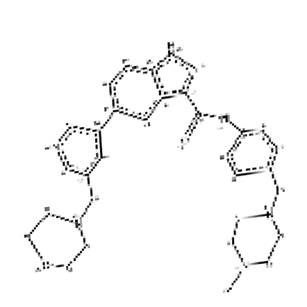 CN1CCN(Cc2ccc(NC(=O)c3n[nH]c4ccc(-c5cncc(CN6CCOCC6)c5)cc34)cc2)CC1